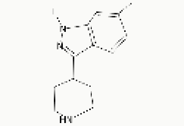 Cc1ccc2c(C3CCNCC3)nn(F)c2c1